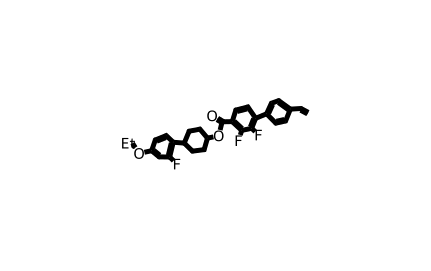 C=Cc1ccc(-c2ccc(C(=O)OC3CCC(c4ccc(OCC)cc4F)CC3)c(F)c2F)cc1